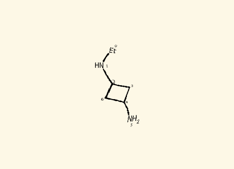 CCNC1CC(N)C1